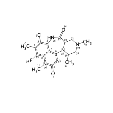 Cc1c(Cl)c2c3c(nc(=O)n(C)c3c1F)N1C(C)CN(C)CC1C(=O)N2